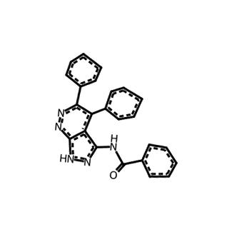 O=C(Nc1n[nH]c2nnc(-c3ccccc3)c(-c3ccccc3)c12)c1ccccc1